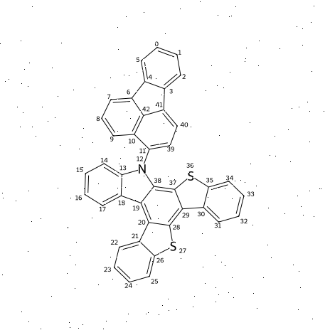 c1ccc2c(c1)-c1cccc3c(-n4c5ccccc5c5c6c7ccccc7sc6c6c7ccccc7sc6c54)ccc-2c13